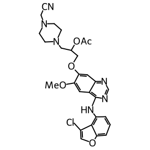 COc1cc2c(Nc3cccc4occ(Cl)c34)ncnc2cc1OCC(CN1CCN(CC#N)CC1)OC(C)=O